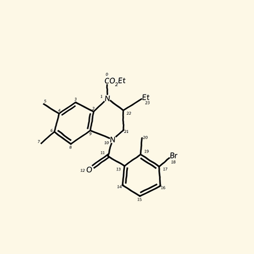 CCOC(=O)N1c2cc(C)c(C)cc2N(C(=O)c2cccc(Br)c2C)CC1CC